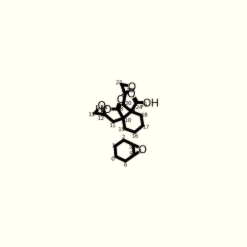 C1CCC2OC2C1.O=C(O)C1(CC2CO2)CCCCC1(CC1CO1)C(=O)O